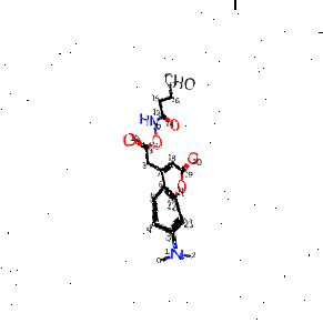 CN(C)c1ccc2c(CC(=O)ONC(=O)CCC=O)cc(=O)oc2c1